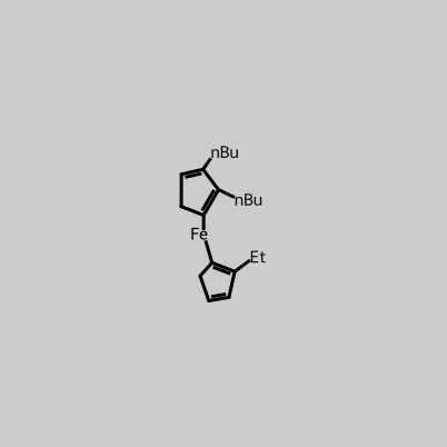 CCCCC1=CC[C]([Fe][C]2=C(CC)C=CC2)=C1CCCC